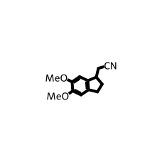 COc1cc2c(cc1OC)C(CC#N)CC2